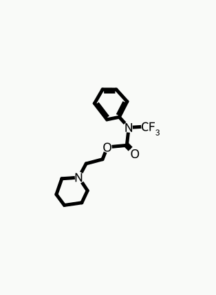 O=C(OCCN1CCCCC1)N(c1ccccc1)C(F)(F)F